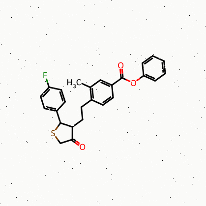 Cc1cc(C(=O)Oc2ccccc2)ccc1CCC1C(=O)CSC1c1ccc(F)cc1